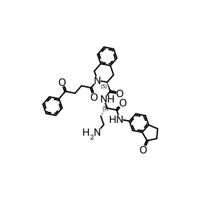 NCC[C@H](NC(=O)[C@@H]1Cc2ccccc2CN1C(=O)CCC(=O)c1ccccc1)C(=O)Nc1ccc2c(c1)C(=O)CC2